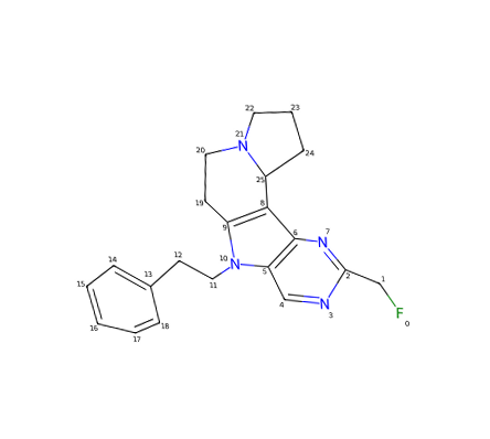 FCc1ncc2c(n1)c1c(n2CCc2ccccc2)CCN2CCCC12